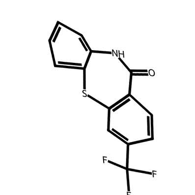 O=C1Nc2ccccc2Sc2cc(C(F)(F)F)ccc21